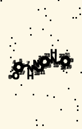 COc1cccc(CNc2ccc3cc(NCc4ccccc4)ccc3n2)c1